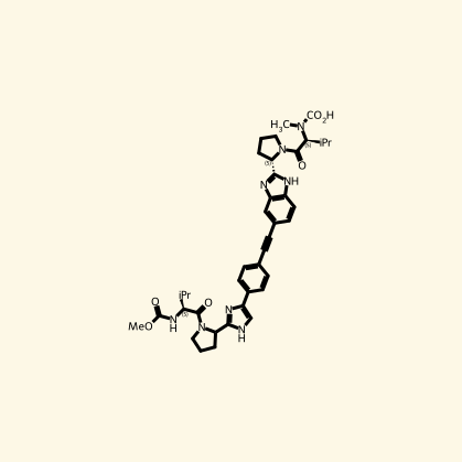 COC(=O)N[C@H](C(=O)N1CCCC1c1nc(-c2ccc(C#Cc3ccc4[nH]c([C@@H]5CCCN5C(=O)[C@H](C(C)C)N(C)C(=O)O)nc4c3)cc2)c[nH]1)C(C)C